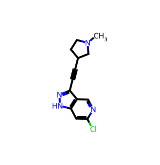 CN1CCC(C#Cc2n[nH]c3cc(Cl)ncc23)C1